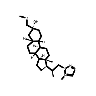 COC[C@@]1(O)CC[C@H]2[C@H](CC[C@@H]3[C@@H]2CC[C@]2(C)[C@@H]([C@H](C)Cn4nnc[n+]4C)CC[C@@H]32)C1